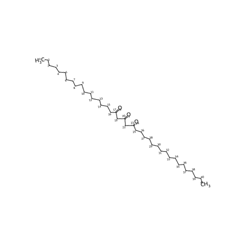 CCCCCCCCCCCCCCCCCC(=O)CC(=O)CC(=O)CCCCCCCCCCCCCCCCC